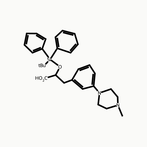 CN1CCN(c2cccc(CC(O[Si](c3ccccc3)(c3ccccc3)C(C)(C)C)C(=O)O)c2)CC1